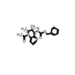 CC(=O)N1c2cccnc2[C@H](NC(=O)OCc2ccccc2)[C@@H](C)[C@@H]1C